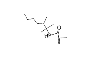 C=C(C)C(=O)PC(C)(C)C(C)CCCC